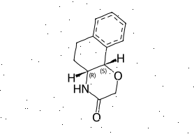 O=C1CO[C@H]2c3ccccc3CC[C@H]2N1